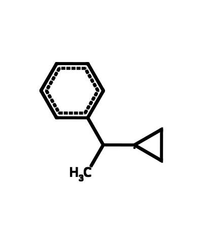 CC([C]1CC1)c1ccccc1